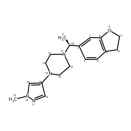 C[C@@H](c1ccc2c(c1)OCC2)N1CCN(c2cnn(C)c2)CC1